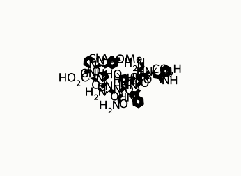 COc1ccc(C[C@@H](C(=O)N2CCCC[C@H]2C(=O)N[C@@H](CC(=O)O)C(=O)N2CCC[C@H]2C(=O)N[C@@H](CN)C(=O)N[C@@H](CCC(N)=O)C(=O)N2C[C@H](O)C[C@H]2C(=O)N[C@@H](Cc2c[nH]c3ccccc23)C(=O)N[C@@H](CCN)C(=O)N[C@@H](Cc2c[nH]c3ccccc23)C(=O)O)N(Cl)C(C)=O)cc1